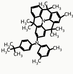 Cc1cc(C)cc(N(c2ccc(C(C)(C)C)cc2)c2cc3c4c(c2)C(C)(C)c2cc(C)cc5c2N4c2c(cccc2C3(C)C)C5(C)C)c1